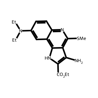 CCOC(=O)c1[nH]c2c(c(SC)nc3ccc(N(CC)CC)cc32)c1N